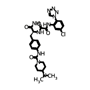 CN(C)C1CCN(C(=O)Nc2ccc(C[C@H](NC(=O)C(=O)Nc3cc(Cl)ccc3-n3cnnn3)C(N)=O)cc2)CC1